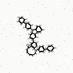 C=C1/C=C\C=C/CN(c2ccc(-c3ccccc3)cc2)c2ccc(-c3ccc4c(c3)c3ccccc3n4-c3ccc(-c4ccccc4)cc3)cc21